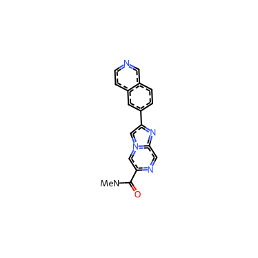 CNC(=O)c1cn2cc(-c3ccc4cnccc4c3)nc2cn1